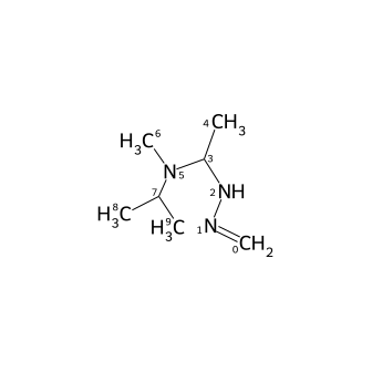 C=NNC(C)N(C)C(C)C